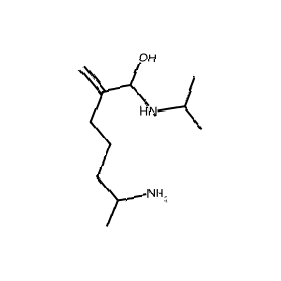 C=C(CCCC(C)N)C(O)NC(C)C